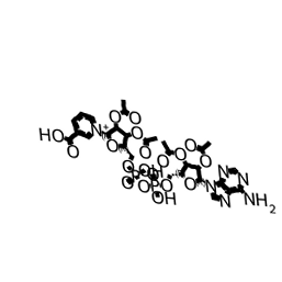 CC(=O)OC1C(OC(C)=O)[C@@H](COP(=O)(O)OP(=O)(O)OC[C@H]2O[C@@H]([n+]3cccc(C(=O)O)c3)C(OC(C)=O)C2OC(C)=O)O[C@H]1n1cnc2c(N)ncnc21